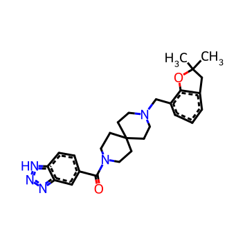 CC1(C)Cc2cccc(CN3CCC4(CC3)CCN(C(=O)c3ccc5[nH]nnc5c3)CC4)c2O1